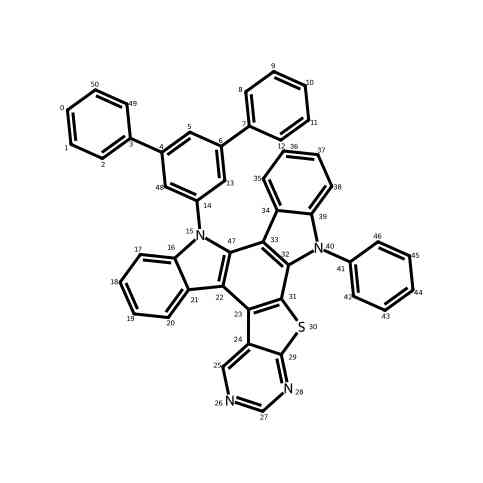 c1ccc(-c2cc(-c3ccccc3)cc(-n3c4ccccc4c4c5c6cncnc6sc5c5c(c6ccccc6n5-c5ccccc5)c43)c2)cc1